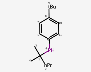 CCCC(C)(C)Pc1ccc(C(C)(C)C)cc1